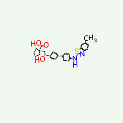 Cc1ccc2nc(Nc3ccc(-c4ccc(C(O)CC5(C(=O)O)CCCC5)cc4)cc3)sc2c1